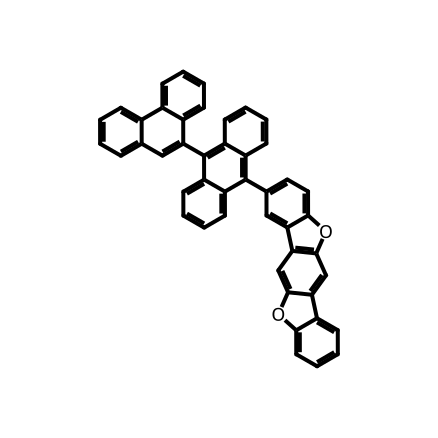 c1ccc2c(c1)cc(-c1c3ccccc3c(-c3ccc4oc5cc6c(cc5c4c3)oc3ccccc36)c3ccccc13)c1ccccc12